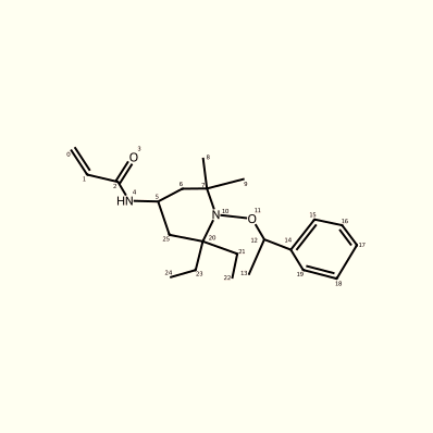 C=CC(=O)NC1CC(C)(C)N(OC(C)c2ccccc2)C(CC)(CC)C1